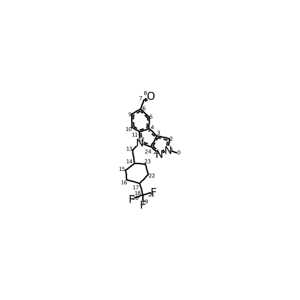 Cn1cc2c3cc(C=O)ccc3n(CC3CCC(C(F)(F)F)CC3)c2n1